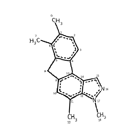 Cc1ccc2c(c1C)Cc1cc(C)c3c(cnn3C)c1-2